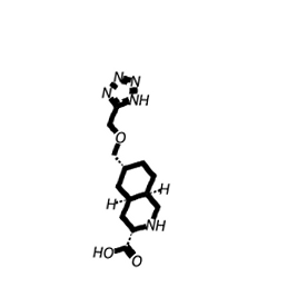 O=C(O)[C@@H]1C[C@H]2C[C@H](COCc3nnn[nH]3)CC[C@H]2CN1